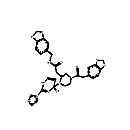 CC1(N2CCN(C(=O)Cc3ccc4c(c3)OCO4)CC2CC(=O)NCc2ccc3c(c2)OCO3)C=CNC(n2ccnc2)=N1